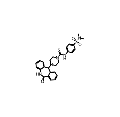 CN(C)S(=O)(=O)c1ccc(NC(=S)N2CCN(C3c4ccccc4NC(=O)c4ccccc43)CC2)cc1